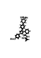 COc1ccc(-n2cc(-c3ccc(N4CCS(O)(O)CC4)cc3)c([C@@H]3CCCC[C@H]3C(=O)NC3(C#N)CC3)n2)cc1